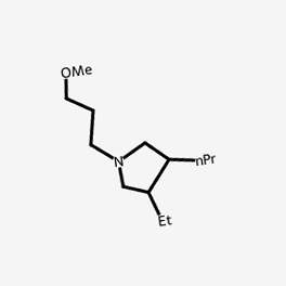 CCCC1CN(CCCOC)CC1CC